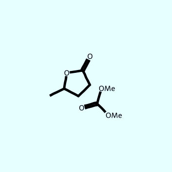 CC1CCC(=O)O1.COC(=O)OC